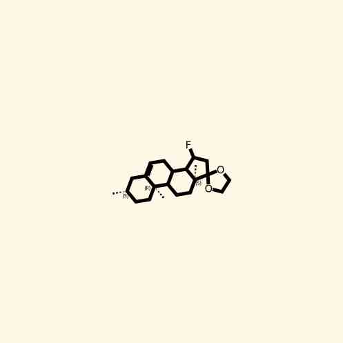 C[C@H]1CC[C@@]2(C)C(=CCC3C2CC[C@@]2(C)C3C(F)CC23OCCO3)C1